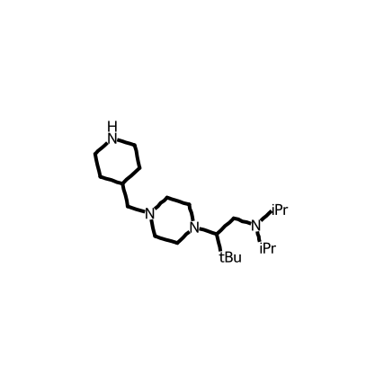 CC(C)N(CC(N1CCN(CC2CCNCC2)CC1)C(C)(C)C)C(C)C